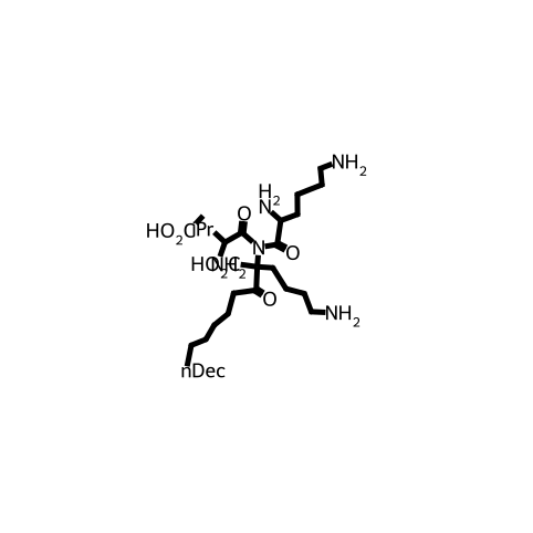 CC(=O)O.CCCCCCCCCCCCCCCC(=O)C(CCCCN)(C(=O)O)N(C(=O)C(N)CCCCN)C(=O)C(N)C(C)C